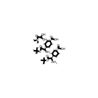 CC(C)(C)OC(=O)C(N)[C@H]1CC[C@H](C(=O)O)CC1.CC(C)(C)OC(=O)C(N)[C@H]1CC[C@H](C(=O)O)CC1.CN(C)C(=O)C(O)O